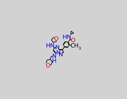 Cc1cc(-c2cnn3c(NCC4CCOCC4)cc(N[C@H]4CCOC4)nc23)ccc1C(=O)NC1CC1